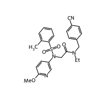 CCN(Cc1ccc(C#N)cc1)C(=O)CN(c1ccc(OC)nc1)S(=O)(=O)c1ccccc1C